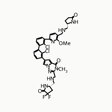 COc1nc(-c2cccc(-c3cccc(-c4cc5c(=O)n(C)c(CNC[C@@H]6CC(F)(F)C(=O)N6)nn5c4)c3Cl)c2Cl)ccc1CNC[C@@H]1CCC(=O)N1